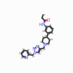 CCC(=O)Nc1cccc(C2CCN(Cc3cn(Cc4ccccn4)nn3)CC2)c1